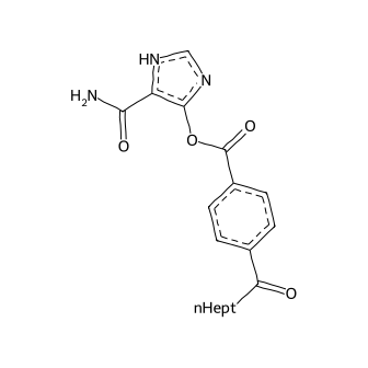 CCCCCCCC(=O)c1ccc(C(=O)Oc2nc[nH]c2C(N)=O)cc1